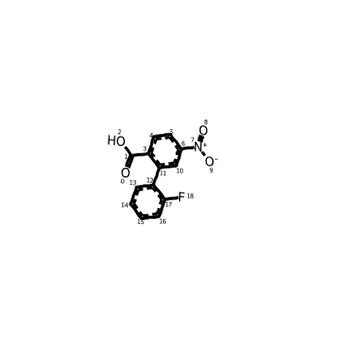 O=C(O)c1ccc([N+](=O)[O-])cc1-c1ccccc1F